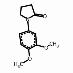 COc1ccc(N2CCCC2=O)cc1OC